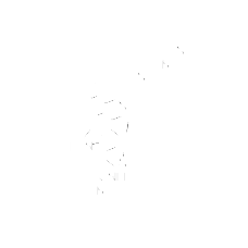 CCNC(=O)Nc1cc(-c2nc(C(F)(F)F)cs2)c(-c2ccc3c(c2)c(=O)c(C(=O)OCC)cn3CC2CCN(CCN3CCN(C)CC3)C2)cn1